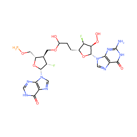 Nc1nc2c(ncn2[C@@H]2O[C@H](CCC(O)OC[C@H]3[C@H](F)[C@H](n4cnc5c(=O)[nH]cnc54)O[C@@H]3COP)[C@@H](F)[C@H]2OO)c(=O)[nH]1